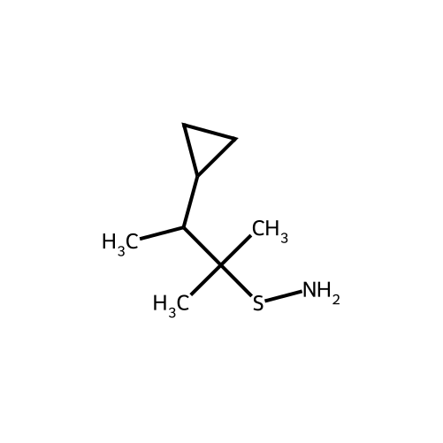 CC(C1CC1)C(C)(C)SN